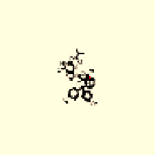 CC[C@]12C[C@H]1[C@@H](OC(c1ccccc1)(c1ccc(OC)cc1)c1ccc(OC)cc1)[C@H](n1cnc3c(=O)[nH]c(NC(=O)C(C)C)nc31)O2